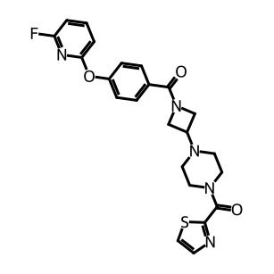 O=C(c1ccc(Oc2cccc(F)n2)cc1)N1CC(N2CCN(C(=O)c3nccs3)CC2)C1